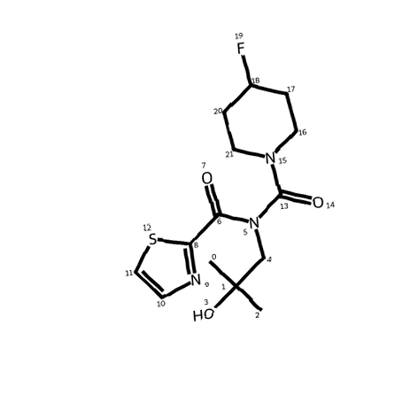 CC(C)(O)CN(C(=O)c1nccs1)C(=O)N1CCC(F)CC1